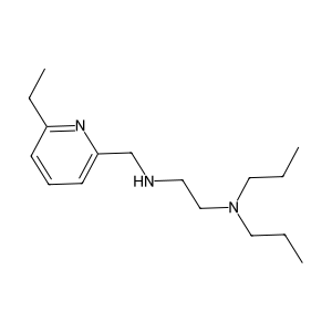 CCCN(CCC)CCNCc1cccc(CC)n1